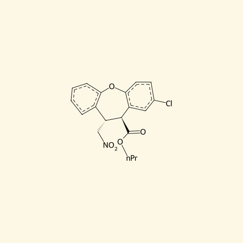 CCCOC(=O)[C@@H]1c2cc(Cl)ccc2Oc2ccccc2[C@H]1C[N+](=O)[O-]